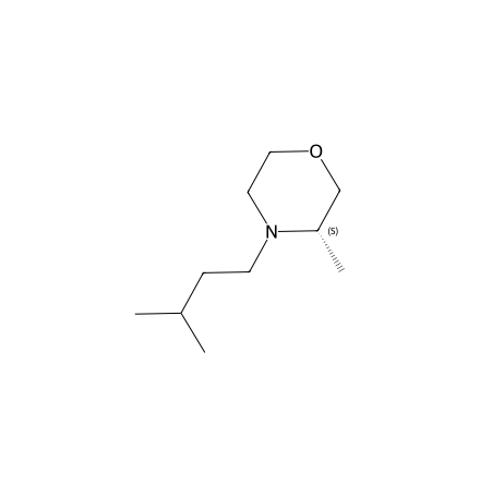 CC(C)CCN1CCOC[C@@H]1C